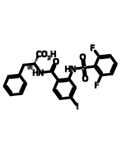 O=C(N[C@H](Cc1ccccc1)C(=O)O)c1ccc(I)cc1NS(=O)(=O)c1c(F)cccc1F